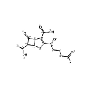 CC(=O)NCC[S+]([O-])C1=C(C(=O)O)C2C(=O)C(C(C)O)C2C1